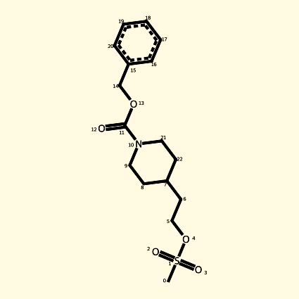 CS(=O)(=O)OCCC1CCN(C(=O)OCc2ccccc2)CC1